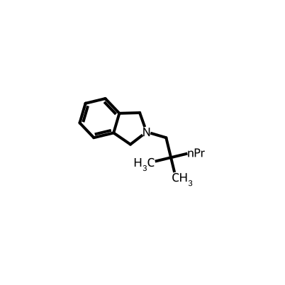 CCCC(C)(C)CN1Cc2ccccc2C1